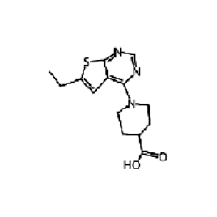 CCc1cc2c(N3CCC(C(=O)O)CC3)ncnc2s1